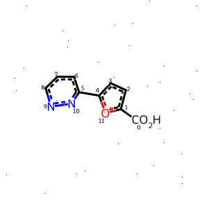 O=C(O)c1ccc(-c2cccnn2)o1